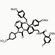 CCOC(=O)C1CCC(n2c(=O)n(-c3ccc(CNC(=O)c4cc(F)ccc4OC)cc3)c3c(N(Cc4ccc(OC)cc4)Cc4ccc(OC)cc4)ncnc32)CC1